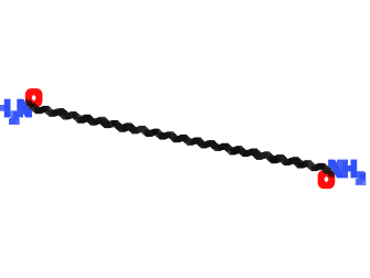 NC(=O)CCCC=CCC=CCC=CCC=CCCCCCCCCCCCCCCC=CCC=CCC=CCC=CCCCC(N)=O